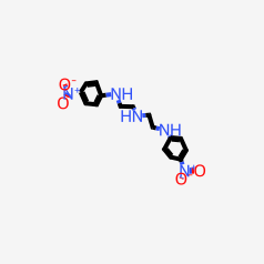 O=[N+]([O-])c1ccc(NCCNCCNc2ccc([N+](=O)[O-])cc2)cc1